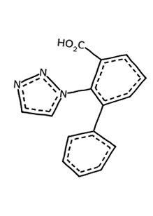 O=C(O)c1cccc(-c2ccccc2)c1-n1ccnn1